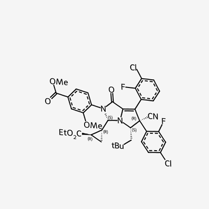 CCOC(=O)[C@@H]1C[C@H]1[C@@H]1N(c2ccc(C(=O)OC)cc2OC)C(=O)C2=C(c3cccc(Cl)c3F)[C@@](C#N)(c3ccc(Cl)cc3F)[C@H](CC(C)(C)C)N21